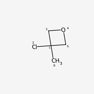 CC1(Cl)COC1